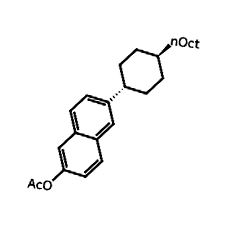 CCCCCCCC[C@H]1CC[C@H](c2ccc3cc(OC(C)=O)ccc3c2)CC1